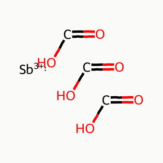 O=[C-]O.O=[C-]O.O=[C-]O.[Sb+3]